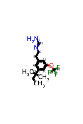 CCC(C)(C)c1cc(CC/N=C/N)cc(OC(F)(F)F)c1